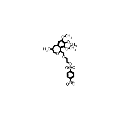 COc1cc2c(c(OC)c1OC)C(COCCOS(=O)(=O)c1ccc([N+](=O)[O-])cc1)OCC(C)C2